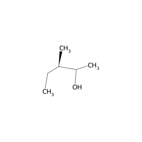 CC[C@@H](C)C(C)O